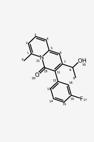 Cc1cccc2cc(C(C)O)c(-c3cccc(F)c3)c(=O)n12